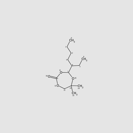 CCCCC(CC)C1OC(=O)OCC(C)(C)O1